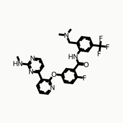 CNc1nccc(-c2cccnc2Oc2ccc(F)c(C(=O)Nc3cc(C(F)(F)F)ccc3CN(C)C)c2)n1